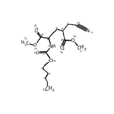 CCCCOC(=O)NC(CC(CC#N)C(=O)OC)C(=O)OC